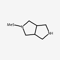 CSN1CC2CNCC2C1